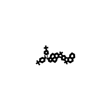 CC(C)(C)c1ccc(N(c2ccc(C(C)(C)C)cc2)c2ccc3ccc4c5c(cc6ccc2c3c64)C(C)(C)c2cc3c(cc2-5)C(C)(C)c2ccc4ccccc4c2-3)cc1